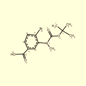 CN(C(=O)OC(C)(C)C)c1cc(C(=O)O)ccc1Br